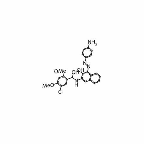 COc1cc(OC)c(C(O)Nc2cc3ccccc3c(N=Nc3ccc(N)cc3)c2O)cc1Cl